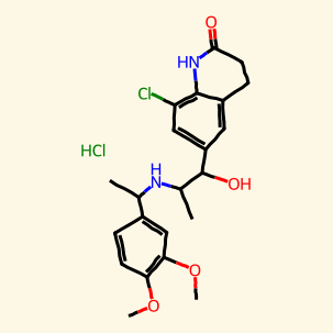 COc1ccc(C(C)NC(C)C(O)c2cc(Cl)c3c(c2)CCC(=O)N3)cc1OC.Cl